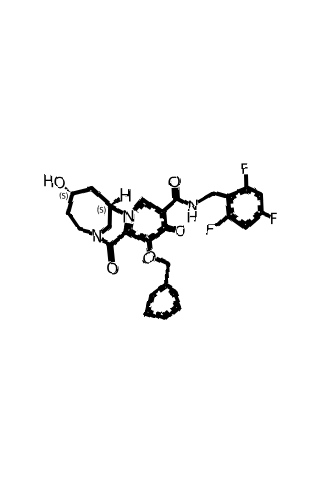 O=C(NCc1c(F)cc(F)cc1F)c1cn2c(c(OCc3ccccc3)c1=O)C(=O)N1CC[C@H](O)C[C@H]2C1